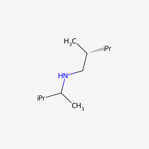 CC(C)C(C)NC[C@H](C)C(C)C